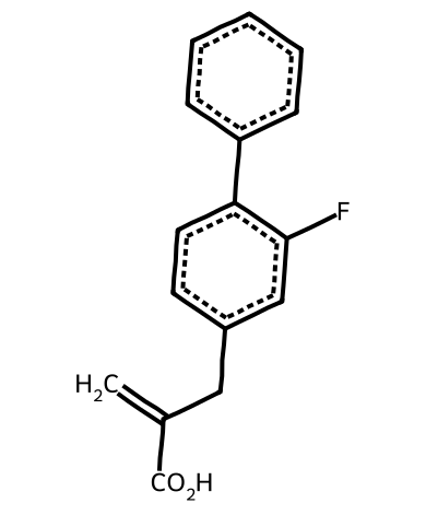 C=C(Cc1ccc(-c2ccccc2)c(F)c1)C(=O)O